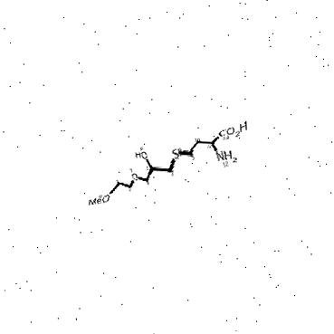 COCCOCC(O)CSCCC(N)C(=O)O